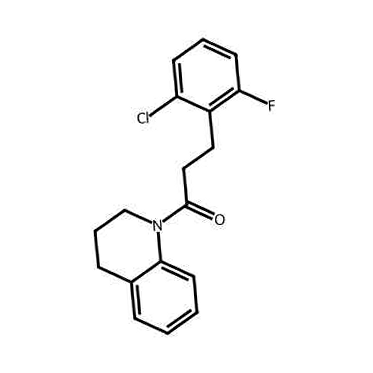 O=C(CCc1c(F)cccc1Cl)N1CCCc2ccccc21